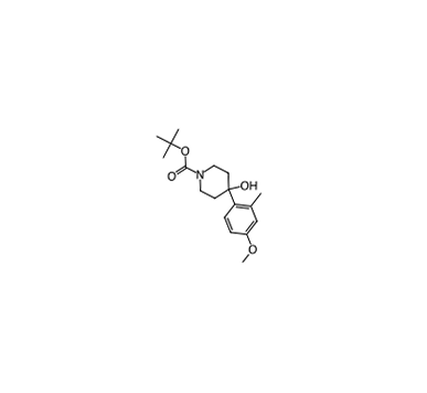 COc1ccc(C2(O)CCN(C(=O)OC(C)(C)C)CC2)c(C)c1